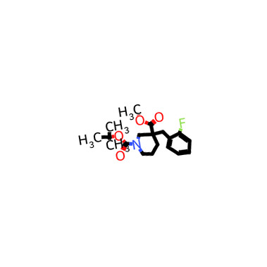 COC(=O)C1(Cc2ccccc2F)CCCN(C(=O)OC(C)(C)C)C1